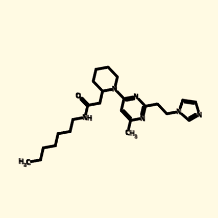 CCCCCCCNC(=O)CC1CCCCN1c1cc(C)nc(CCn2ccnc2)n1